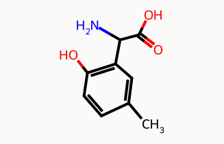 Cc1ccc(O)c(C(N)C(=O)O)c1